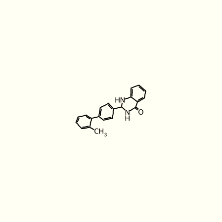 Cc1ccccc1-c1ccc(C2NC(=O)c3ccccc3N2)cc1